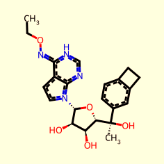 CCON=c1[nH]cnc2c1ccn2[C@@H]1O[C@H]([C@](C)(O)c2ccc3c(c2)CC3)[C@@H](O)[C@H]1O